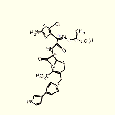 C[C@H](O/N=C(\C(=O)N[C@@H]1C(=O)N2C(C(=O)O)=C(C[n+]3ccc(-c4cc[nH]c4)cc3)CSC12)c1nc(N)sc1Cl)C(=O)O